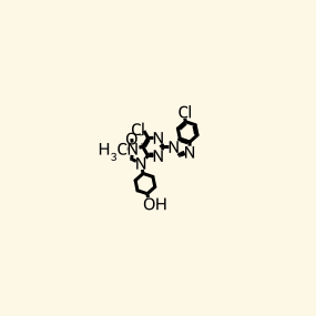 C[N+]1([O-])CN(C2CCC(O)CC2)c2nc(-n3cnc4ccc(Cl)cc43)nc(Cl)c21